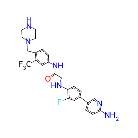 Nc1ccc(-c2ccc(NCC(=O)Nc3ccc(CN4CCNCC4)c(C(F)(F)F)c3)c(F)c2)cn1